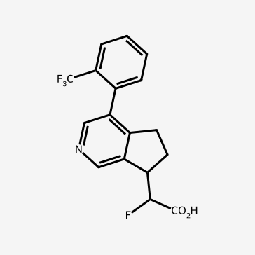 O=C(O)C(F)C1CCc2c(-c3ccccc3C(F)(F)F)cncc21